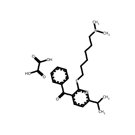 CC(C)c1ccc(C(=O)c2ccccc2)c(SCCCCCCN(C)C)n1.O=C(O)C(=O)O